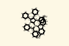 CC(C)(C)c1ccc2c(c1)[CH]([Zr]([C]1=CC(c3ccccc3)=C(c3ccccc3)C1c1ccccc1)=[C](c1ccccc1)c1ccccc1)c1cc(C(C)(C)C)ccc1-2